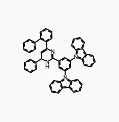 C1=C(c2ccccc2-c2ccccc2)N=C(c2cc(-n3c4ccccc4c4ccccc43)cc(-n3c4ccccc4c4ccccc43)c2)NC1c1ccccc1